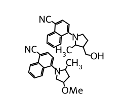 CC1C(CO)CCN1c1ccc(C#N)c2ccccc12.COC1CC(C)N(c2ccc(C#N)c3ccccc23)C1